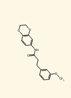 O=C(CCc1cccc(OC(F)(F)F)c1)Nc1ccc2c(c1)OCCO2